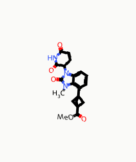 COC(=O)C12CC(c3cccc4c3n(C)c(=O)n4C3CCC(=O)NC3=O)(C1)C2